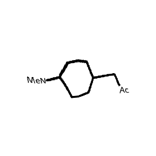 CNC1CCC(CC(C)=O)CC1